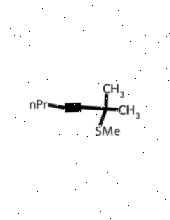 [CH2]CCC#CC(C)(C)SC